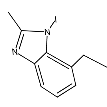 CCc1cccc2nc(C)n(I)c12